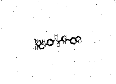 CN1C[C@@H]2CCN(c3ccc(NC(=O)c4csc(-c5ccc6c(c5)CCO6)n4)cc3)[C@@H]2C1